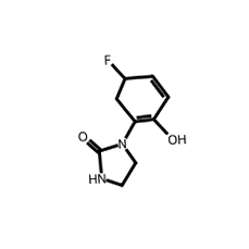 O=C1NCCN1C1=C(O)C=CC(F)C1